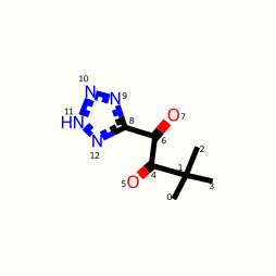 CC(C)(C)C(=O)C(=O)c1nn[nH]n1